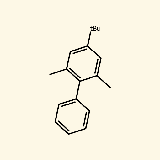 Cc1cc(C(C)(C)C)cc(C)c1-c1ccccc1